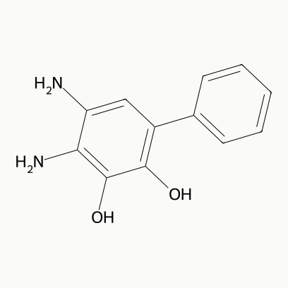 Nc1cc(-c2ccccc2)c(O)c(O)c1N